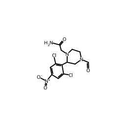 NC(=O)CN1CCN(C=O)CC1c1c(Cl)cc([N+](=O)[O-])cc1Cl